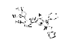 CC[C@H](C)[C@H](NC(=O)c1ccc2c(c1)nc(Cc1cccs1)n2[C@@H]1CCCC[C@H]1C)C(=O)O